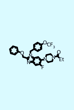 CCC(=O)N1CCN(c2cc3c(cc2F)nc(COc2ccccc2)n3Cc2ccc(OC(F)(F)F)cc2)CC1